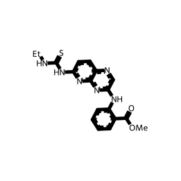 CCNC(=S)Nc1ccc2ncc(Nc3ccccc3C(=O)OC)nc2n1